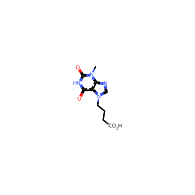 Cn1c(=O)[nH]c(=O)c2c1ncn2CCCC(=O)O